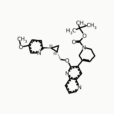 COc1ccc([C@H]2C[C@@H]2COc2nc3cccnc3cc2C2=CCCN(C(=O)OC(C)(C)C)C2)nc1